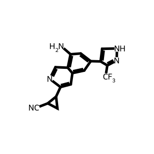 N#CC1CC1c1cc2cc(-c3c[nH]nc3C(F)(F)F)cc(N)c2cn1